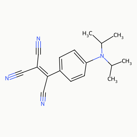 CC(C)N(c1ccc(C(C#N)=C(C#N)C#N)cc1)C(C)C